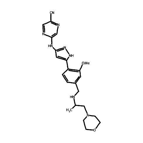 COc1cc(CNC(C)CN2CCOCC2)ccc1-c1cc(Nc2cnc(C#N)cn2)n[nH]1